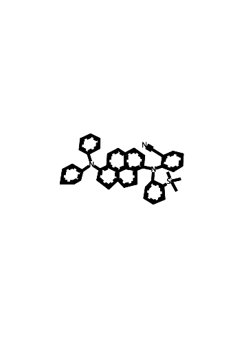 C[Si](C)(C)c1ccccc1N(c1ccccc1C#N)c1ccc2ccc3c(N(c4ccccc4)c4ccccc4)ccc4ccc1c2c43